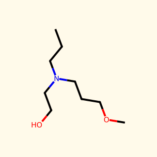 CCCN(CCO)CCCOC